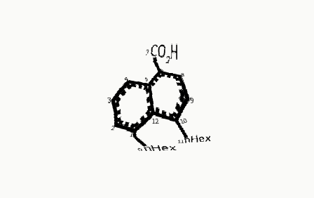 CCCCCCc1cccc2c(C(=O)O)ccc(CCCCCC)c12